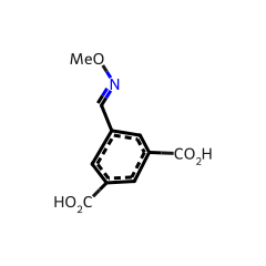 CON=Cc1cc(C(=O)O)cc(C(=O)O)c1